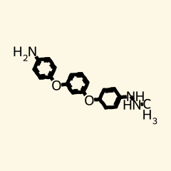 CNNC1=CCC(Oc2cccc(Oc3ccc(N)cc3)c2)C=C1